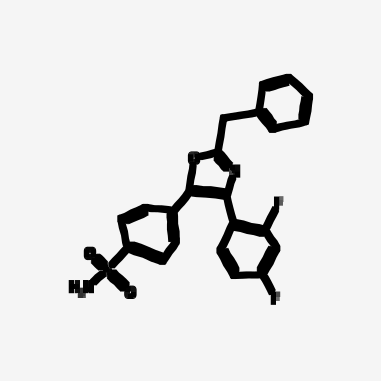 NS(=O)(=O)c1ccc(-c2oc(Cc3ccccc3)nc2-c2ccc(F)cc2F)cc1